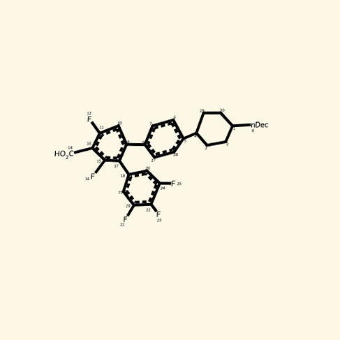 CCCCCCCCCCC1CCC(c2ccc(-c3cc(F)c(C(=O)O)c(F)c3-c3cc(F)c(F)c(F)c3)cc2)CC1